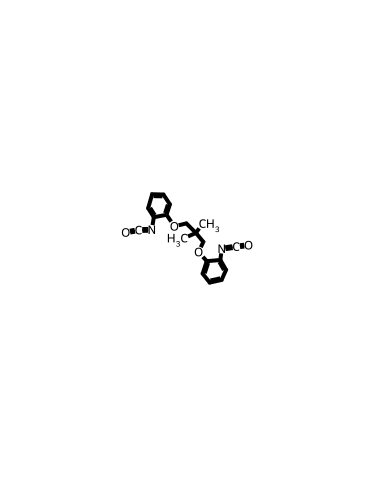 CC(C)(COc1ccccc1N=C=O)COc1ccccc1N=C=O